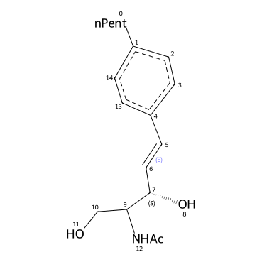 CCCCCc1ccc(/C=C/[C@H](O)C(CO)NC(C)=O)cc1